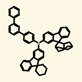 c1ccc(-c2cccc(-c3ccc(N(c4ccc5c(c4)-c4ccccc4C54CCCCC4)c4ccc5c(c4)C4(c6ccccc6-5)C5CC6CC(C5)C4C6)cc3)c2)cc1